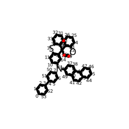 c1ccc(-c2ccc(N(c3ccc4c(c3)C3(c5ccccc5Oc5ccccc53)c3ccccc3S4)c3ccc4c(ccc5ccccc54)c3)cc2)cc1